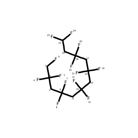 FCC(F)(F)CC(F)(F)CC(F)(F)CC(F)(F)CC(F)(F)C[C](F)F